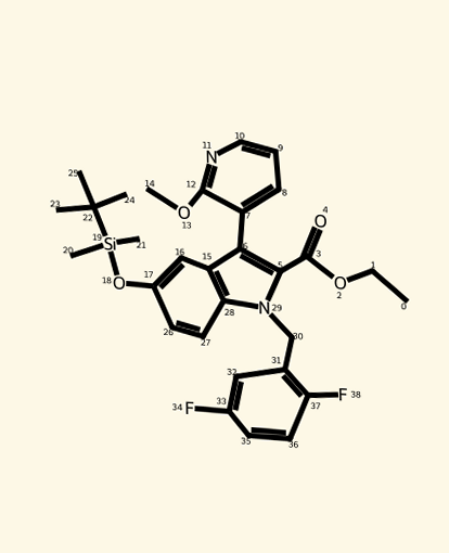 CCOC(=O)c1c(-c2cccnc2OC)c2cc(O[Si](C)(C)C(C)(C)C)ccc2n1Cc1cc(F)ccc1F